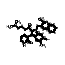 Cc1cc2c(-c3ccc[nH]c3=O)c(C(=O)OCCN(C)C)n(Cc3cc4ccccc4nc3Cl)c2cc1F